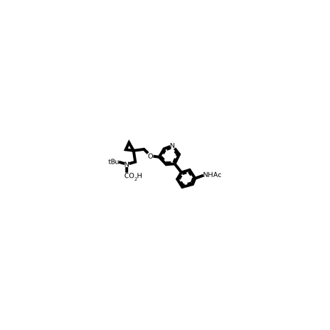 CC(=O)Nc1cccc(-c2cncc(OCC3(CN(C(=O)O)C(C)(C)C)CC3)c2)c1